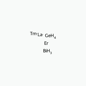 [BiH3].[Er].[GeH4].[La].[Tm]